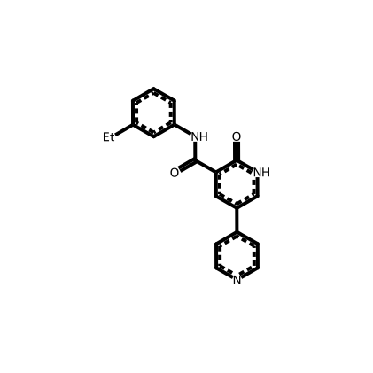 CCc1cccc(NC(=O)c2cc(-c3ccncc3)c[nH]c2=O)c1